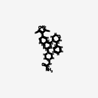 Cc1noc(C)c1-c1ccc2nc(N3CCN(CC(N)=O)CC3)nc(N3CCOCC3c3ccccc3)c2c1